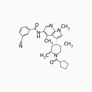 Cc1c(NC(=O)c2cccc(C#N)c2)cnc2c1c([C@H]1C[C@H](C)N(C(=O)C3CCCC3)C[C@H]1C)cn2C